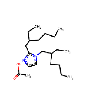 CC(=O)O.CCCCC(CC)Cc1nccn1CC(CC)CCCC